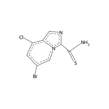 NC(=S)c1ncc2c(Cl)cc(Br)cn12